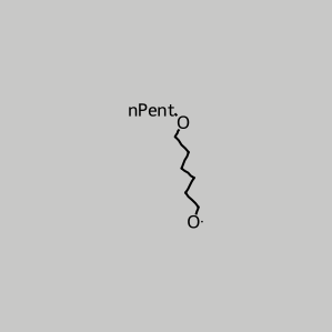 CCCCCOCCCCCC[O]